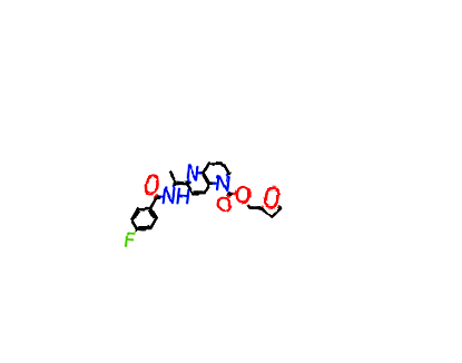 CC(NC(=O)c1ccc(F)cc1)c1ccc2c(n1)CCCN2C(=O)OCC1CCO1